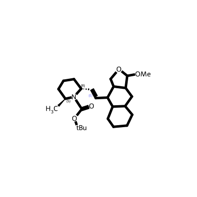 COC1OCC2C(/C=C/[C@H]3CCC[C@H](C)N3C(=O)OC(C)(C)C)C3CCCCC3CC12